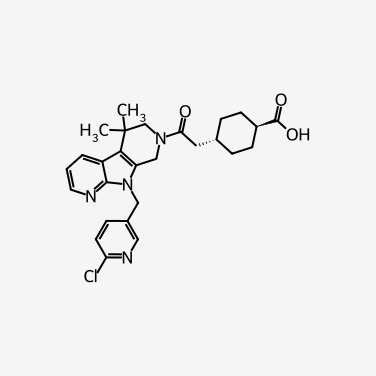 CC1(C)CN(C(=O)C[C@H]2CC[C@H](C(=O)O)CC2)Cc2c1c1cccnc1n2Cc1ccc(Cl)nc1